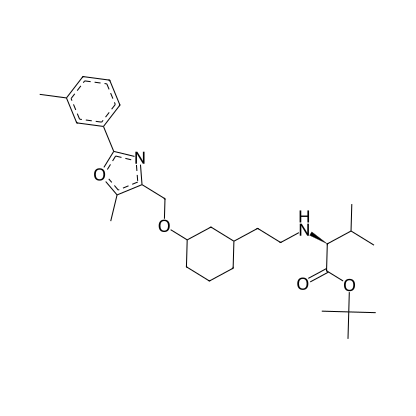 Cc1cccc(-c2nc(COC3CCCC(CCN[C@H](C(=O)OC(C)(C)C)C(C)C)C3)c(C)o2)c1